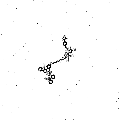 Cc1ncsc1-c1ccc(CNC(=O)[C@@H]2C[C@@H](O)CN2C(=O)C(NC(=O)COCCCCCCCOc2cc(F)c([C@@H]3c4[nH]c5ccccc5c4C[C@@H](C)N3CC(F)(F)CO[Si](c3ccccc3)(c3ccccc3)C(C)(C)C)c(F)c2)C(C)(C)C)cc1